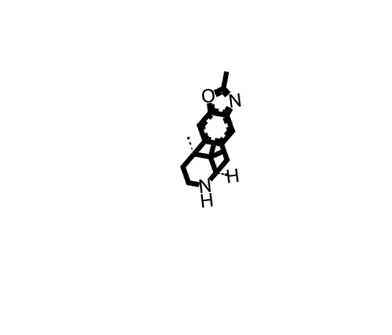 Cc1nc2cc3c(cc2o1)[C@]1(C)CCN[C@H](C3)C1(C)C